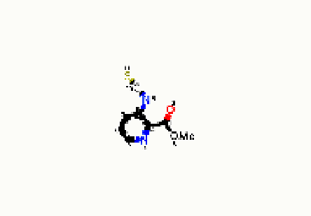 COC(=O)c1ncccc1N=C=S